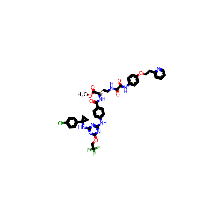 COC(=O)[C@H](CCNC(=O)C(=O)Nc1ccc(OCCc2ccccn2)cc1)NC(=O)c1ccc(Nc2nc(NC3(c4ccc(Cl)cc4)CC3)nc(OCC(F)(F)F)n2)cc1